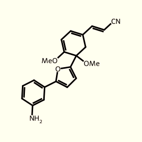 COC1=CC=C(C=CC#N)CC1(OC)c1ccc(-c2cccc(N)c2)o1